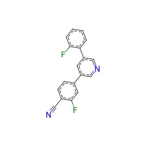 N#Cc1ccc(-c2cncc(-c3ccccc3F)c2)cc1F